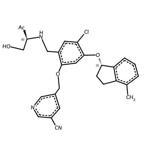 CC(=O)[C@H](CO)NCc1cc(Cl)c(O[C@H]2CCc3c(C)cccc32)cc1OCc1cncc(C#N)c1